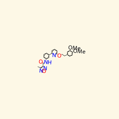 COc1ccc(CCOc2cccc(-c3cccc(NC(=O)c4nonc4C)c3)n2)cc1OC